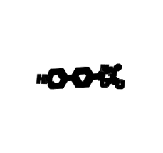 Cn1nc(-c2ccc(C3=CCNCC3)cc2)oc1=O